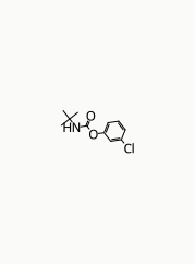 CC(C)(C)NC(=O)Oc1cccc(Cl)c1